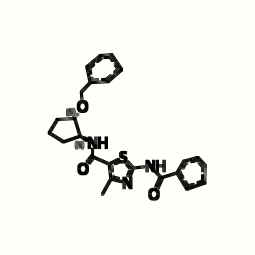 Cc1nc(NC(=O)c2ccccc2)sc1C(=O)N[C@H]1CCC[C@@H]1OCc1ccccc1